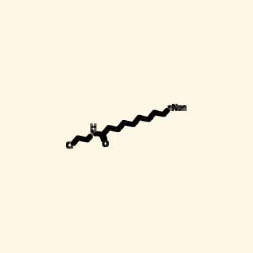 CCCCCCCCCCCCCCCCCC(=O)NCCCl